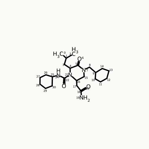 CC(C)CC1C(=O)N(CC2CCCCC2)CC(CC(N)=O)N1C(=O)NC1CCCCC1